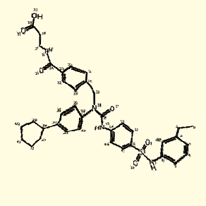 CCc1cccc(NS(=O)(=O)c2ccc(NC(=O)N(Cc3ccc(C(=O)NCCC(=O)O)cc3)c3ccc(C4CCCCC4)cc3)cc2)c1